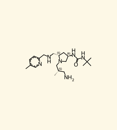 Cc1ccc(CNC[C@@H]2C[C@@H](NC(=O)NC(C)(C)C)CN2C[C@@H](C)CN)nc1